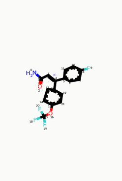 NC(=O)/C=C(/c1ccc(F)cc1)c1ccc(OC(F)(F)F)cc1